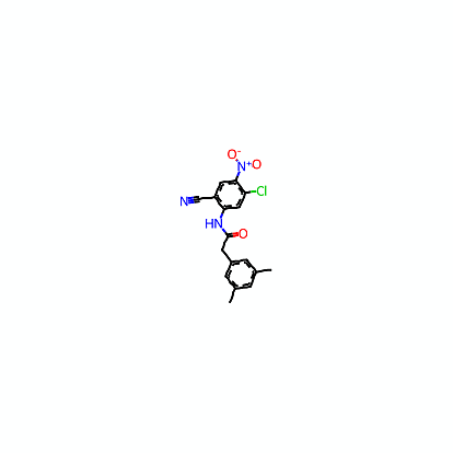 Cc1cc(C)cc(CC(=O)Nc2cc(Cl)c([N+](=O)[O-])cc2C#N)c1